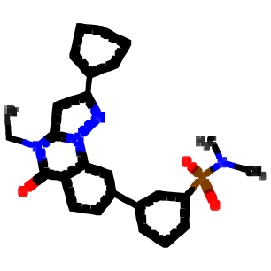 CC(C)Cn1c(=O)c2ccc(-c3cccc(S(=O)(=O)N(C)C)c3)cc2n2nc(-c3ccccc3)cc12